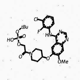 COc1cc2ncnc(Nc3cccc(Cl)c3F)c2cc1OC1CCN(C(=O)COP(=O)(O)OC(C)(C)C)CC1